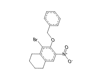 O=[N+]([O-])c1cc2c(c(Br)c1OCc1ccccc1)CCCC2